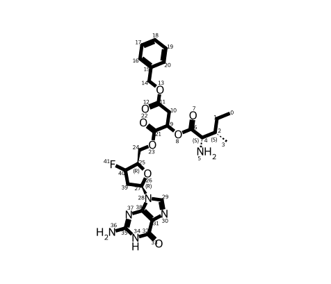 CC[C@H](C)[C@H](N)C(=O)OC(CC(=O)OCc1ccccc1)C(=O)OC[C@H]1O[C@@H](n2cnc3c(=O)[nH]c(N)nc32)CC1F